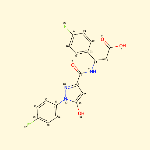 O=C(O)C[C@H](NC(=O)c1cc(O)n(-c2ccc(F)cc2)n1)c1ccc(F)cc1